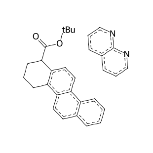 CC(C)(C)OC(=O)C1CCCc2c1ccc1c2ccc2ccccc21.c1cnc2ncccc2c1